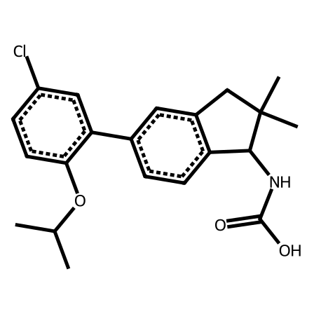 CC(C)Oc1ccc(Cl)cc1-c1ccc2c(c1)CC(C)(C)C2NC(=O)O